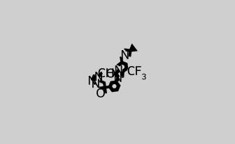 Cn1cnnc1CC1(c2cccc(-n3cc4c(C(F)(F)F)cc(CN5CC6(CC6)C5)cn4c3=O)c2)COC1